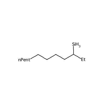 CCCCCCCCCC([SiH3])CC